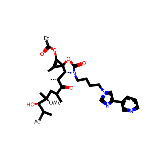 CCC(=O)OC1=C(C)C12OC(=O)N(CCCCn1cnc(-c3cccnc3)c1)[C@@H]2[C@@H](C)C(=O)C(C)C[C@](C)(OC)[C@H](O)C(C)C(C)=O